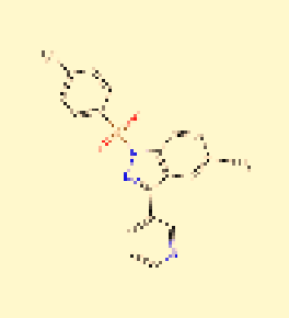 Cc1ccc(S(=O)(=O)n2nc(-c3cccnc3)c3cc(C)ccc32)cc1